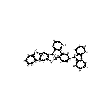 c1cnc2c(c1)N1B(Oc3cc4c(cc31)oc1ccccc14)c1ccc(-n3c4ccccc4c4ccccc43)cc1-2